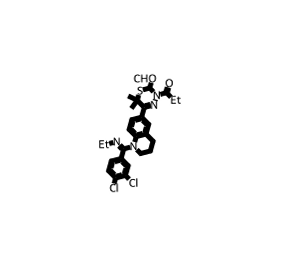 CCN=C(c1ccc(Cl)c(Cl)c1)N1CCCc2cc(C3=NN(C(=O)CC)C(C=O)SC3(C)C)ccc21